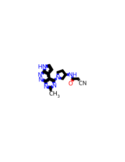 Cc1nc(N2CCC(NC(=O)CC#N)C2)c2c(nnc3[nH]ccc32)n1